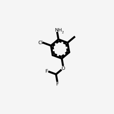 Cc1cc(OC(F)F)cc(Cl)c1N